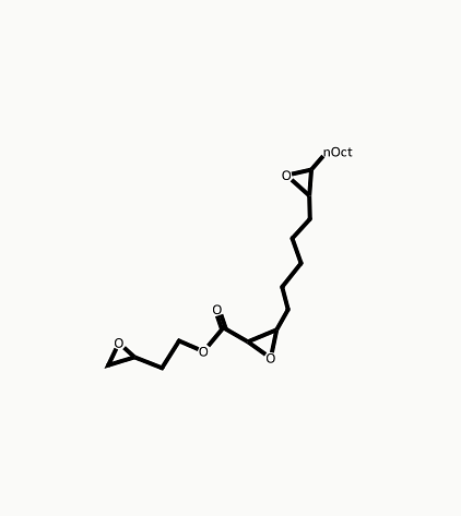 CCCCCCCCC1OC1CCCCCC1OC1C(=O)OCCC1CO1